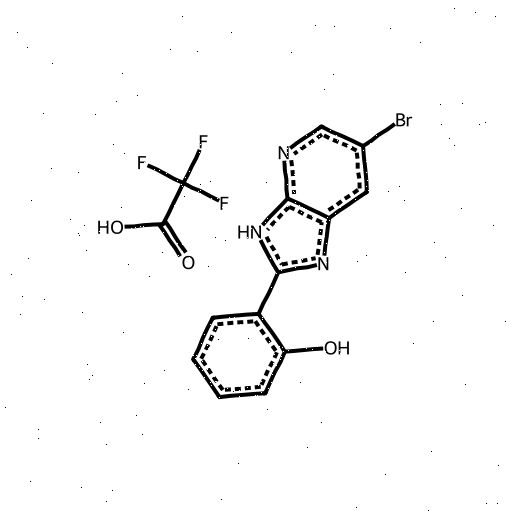 O=C(O)C(F)(F)F.Oc1ccccc1-c1nc2cc(Br)cnc2[nH]1